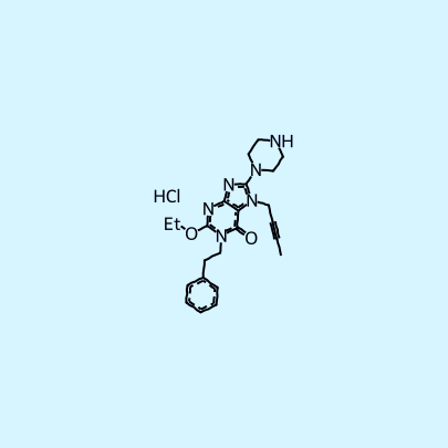 CC#CCn1c(N2CCNCC2)nc2nc(OCC)n(CCc3ccccc3)c(=O)c21.Cl